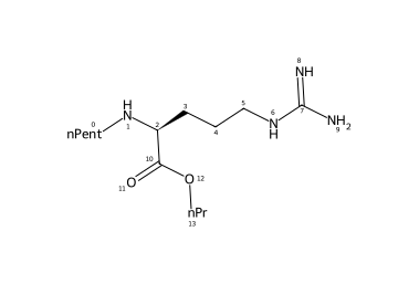 CCCCCN[C@@H](CCCNC(=N)N)C(=O)OCCC